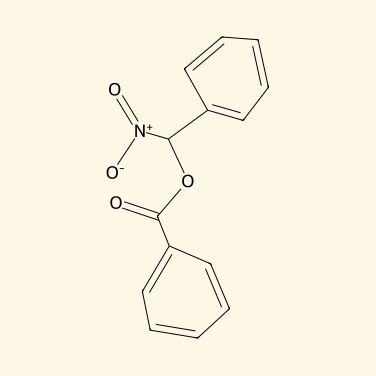 O=C(OC(c1ccccc1)[N+](=O)[O-])c1ccccc1